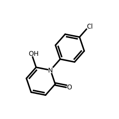 O=c1cccc(O)n1-c1ccc(Cl)cc1